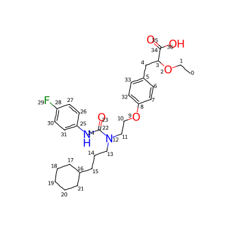 CCOC(Cc1ccc(OCCN(CCCC2CCCCC2)C(=O)Nc2ccc(F)cc2)cc1)C(=O)O